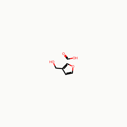 O=CO.OCc1ccoc1